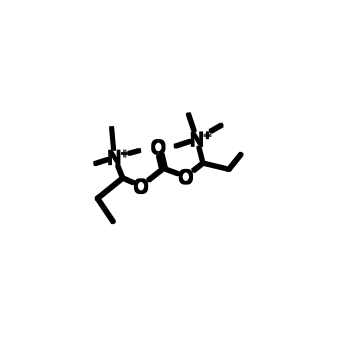 CCC(OC(=O)OC(CC)[N+](C)(C)C)[N+](C)(C)C